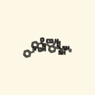 N=C(N)Nc1cccc([C@H](NC(=O)c2cccn(Cc3ccccc3)c2=O)C(=O)O)c1